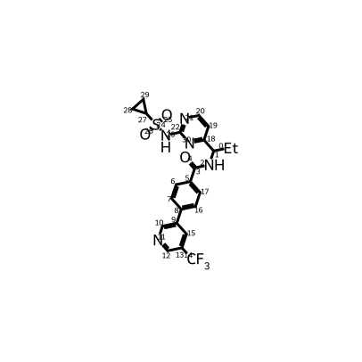 CCC(NC(=O)c1ccc(-c2cncc(C(F)(F)F)c2)cc1)c1ccnc(NS(=O)(=O)C2CC2)n1